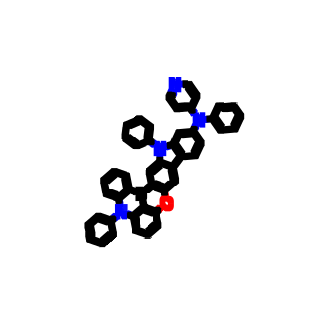 c1ccc(N(c2ccncc2)c2ccc3c4cc5c(cc4n(-c4ccccc4)c3c2)B2c3ccccc3N(c3ccccc3)c3cccc(c32)O5)cc1